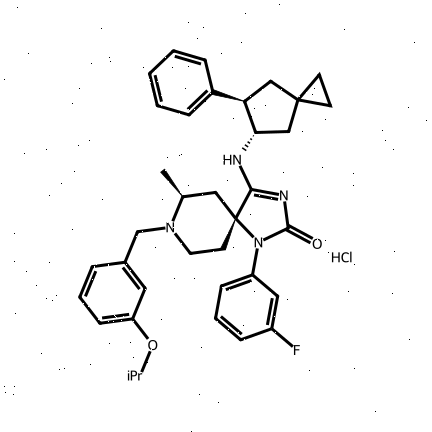 CC(C)Oc1cccc(CN2CC[C@@]3(C[C@@H]2C)C(N[C@H]2CC4(CC4)C[C@@H]2c2ccccc2)=NC(=O)N3c2cccc(F)c2)c1.Cl